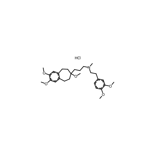 COc1ccc(CCN(C)CCCC2(OC)CCc3cc(OC)c(OC)cc3CC2)cc1OC.Cl